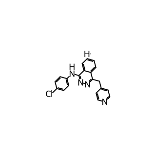 Clc1ccc(Nc2nnc(Cc3ccncc3)c3ccccc23)cc1.[H]